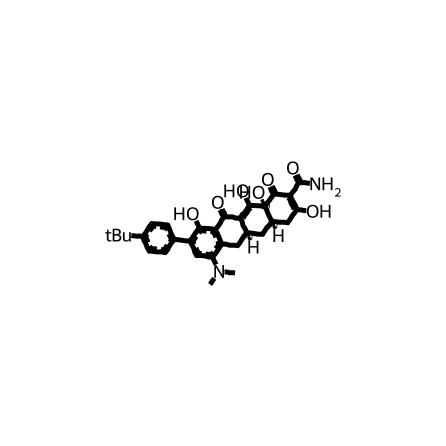 CN(C)c1cc(-c2ccc(C(C)(C)C)cc2)c(O)c2c1C[C@H]1C[C@H]3CC(O)=C(C(N)=O)C(=O)[C@@]3(O)C(O)=C1C2=O